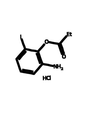 CCC(=O)Oc1c(N)cccc1I.Cl